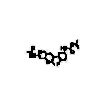 C=C(C)OC(=O)Nc1ccc(F)c(-c2cc3cnc(NC(C)=O)cc3nc2C)c1